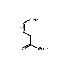 CCCC[CH]C(=O)C/C=C\CCCCCC